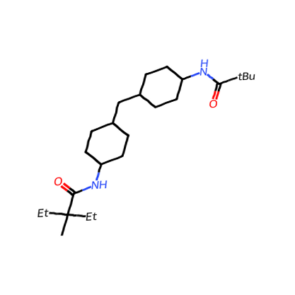 CCC(C)(CC)C(=O)NC1CCC(CC2CCC(NC(=O)C(C)(C)C)CC2)CC1